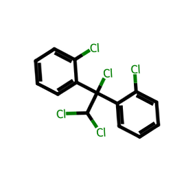 Clc1ccccc1C(Cl)(c1ccccc1Cl)C(Cl)Cl